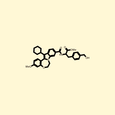 COC(=O)C(Cc1ccc(CO)cc1)NC(=O)c1ccc2c(C3CCCCC3)c3n(c2c1)CCOc1cc(OC)ccc1-3